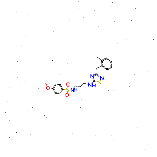 COc1ccc(S(=O)(=O)NCCCNc2nc(Cc3ccccc3C)ns2)cc1